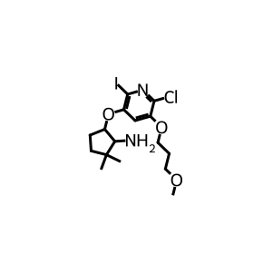 COCCCOc1cc(OC2CCC(C)(C)C2N)c(I)nc1Cl